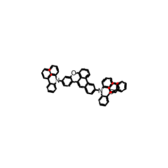 c1ccc(-c2ccccc2N(c2ccccc2)c2ccc3c(c2)Oc2cccc4c2c-3cc2ccc(N(c3ccccc3-c3ccccc3)c3cccc5c3oc3ccccc35)cc24)cc1